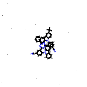 CC(C)(C)c1ccc2c(c1)c1ccccc1n2-c1ccc(C#N)cc1-c1nc(-c2ccccc2)nc(-c2cc(C#N)ccc2-n2c3ccccc3c3cc(C(C)(C)C)ccc32)n1